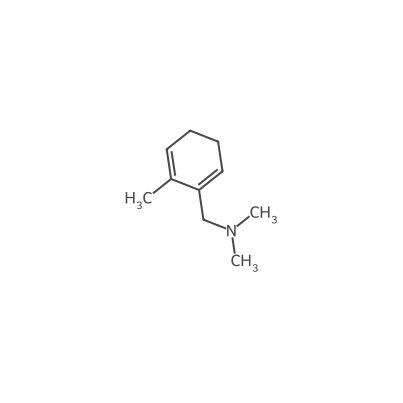 CC1=CCCC=C1CN(C)C